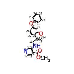 COC(=O)c1ccncc1NC[C@@H]1CCOc2cc(Oc3ccccc3)ccc21